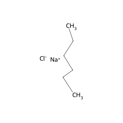 CCCCCC.[Cl-].[Na+]